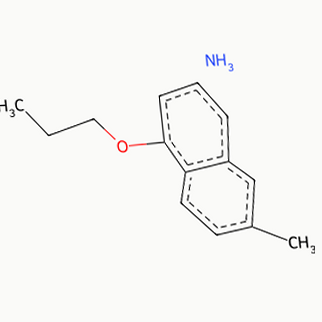 CCCOc1cccc2cc(C)ccc12.N